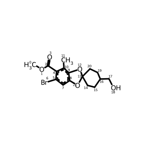 COC(=O)c1c(Br)cc2c(c1C)OC1(CCC(CO)CC1)O2